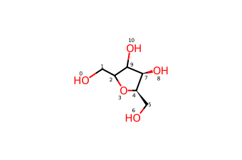 OCC1O[C@H](CO)[C@H](O)C1O